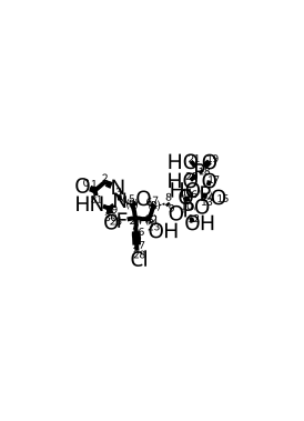 O=c1cnn([C@@H]2O[C@H](COP(=O)(O)OP(=O)(O)OP(=O)(O)O)[C@H](O)C2(F)C#CCl)c(=O)[nH]1